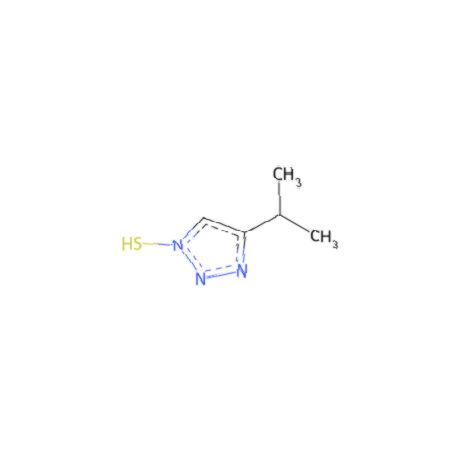 CC(C)c1cn(S)nn1